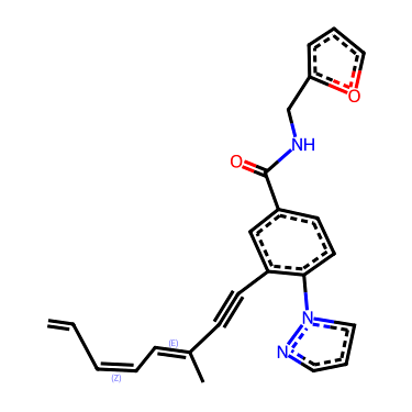 C=C/C=C\C=C(/C)C#Cc1cc(C(=O)NCc2ccco2)ccc1-n1cccn1